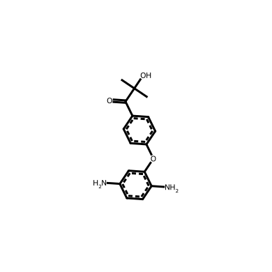 CC(C)(O)C(=O)c1ccc(Oc2cc(N)ccc2N)cc1